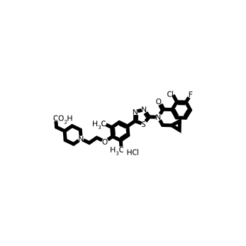 Cc1cc(-c2nnc(N(CC3CC3)C(=O)c3cccc(F)c3Cl)s2)cc(C)c1OCCN1CCC(CC(=O)O)CC1.Cl